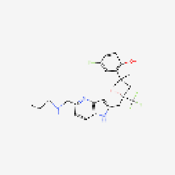 CCCNCc1ccc2[nH]c(CC(O)(CC(C)(C)c3cc(F)ccc3O)C(F)(F)F)cc2n1